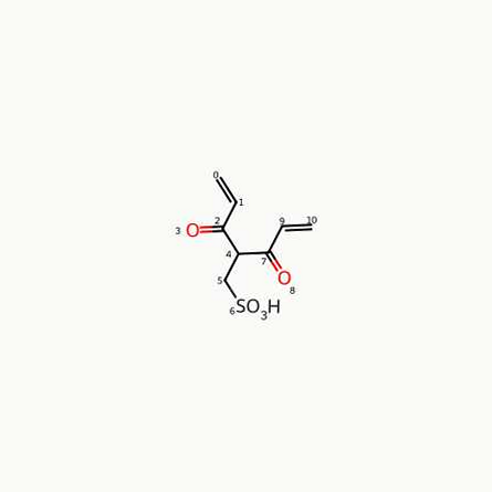 C=CC(=O)C(CS(=O)(=O)O)C(=O)C=C